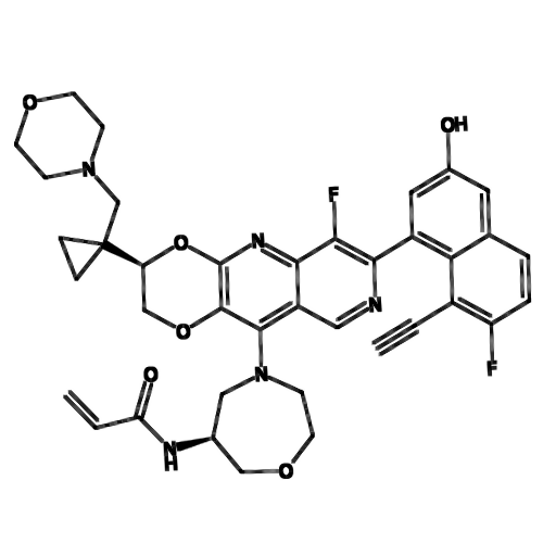 C#Cc1c(F)ccc2cc(O)cc(-c3ncc4c(N5CCOC[C@@H](NC(=O)C=C)C5)c5c(nc4c3F)O[C@H](C3(CN4CCOCC4)CC3)CO5)c12